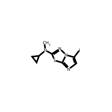 CN(c1nn2c(I)cnc2s1)C1CC1